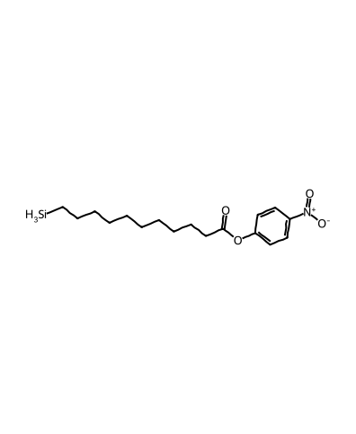 O=C(CCCCCCCCCC[SiH3])Oc1ccc([N+](=O)[O-])cc1